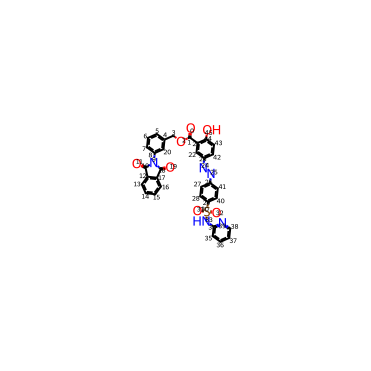 O=C(OCc1cccc(N2C(=O)c3ccccc3C2=O)c1)c1cc(/N=N/c2ccc(S(=O)(=O)Nc3ccccn3)cc2)ccc1O